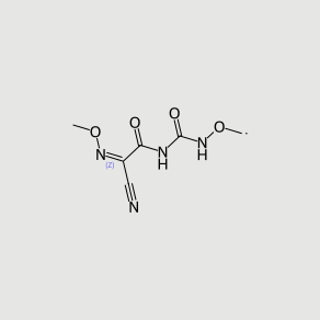 [CH2]ONC(=O)NC(=O)/C(C#N)=N\OC